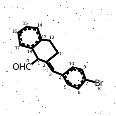 O=CC1/C(=C/c2ccc(Br)cc2)CCc2ccccc21